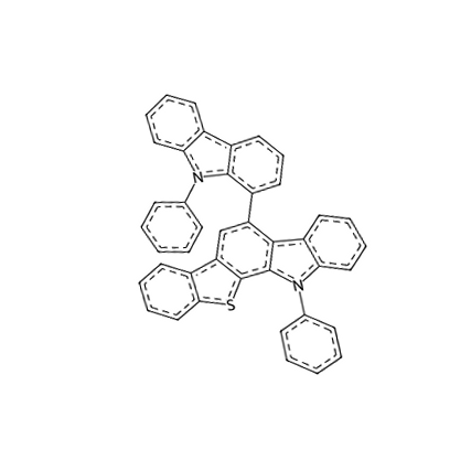 c1ccc(-n2c3ccccc3c3cccc(-c4cc5c6ccccc6sc5c5c4c4ccccc4n5-c4ccccc4)c32)cc1